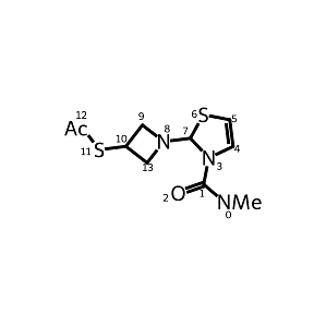 CNC(=O)N1C=CSC1N1CC(SC(C)=O)C1